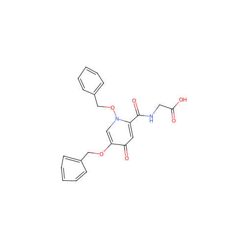 O=C(O)CNC(=O)c1cc(=O)c(OCc2ccccc2)cn1OCc1ccccc1